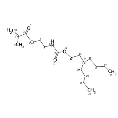 C=C(C)C(=O)OCCNC(=O)OCCN(CCCC)CCCC